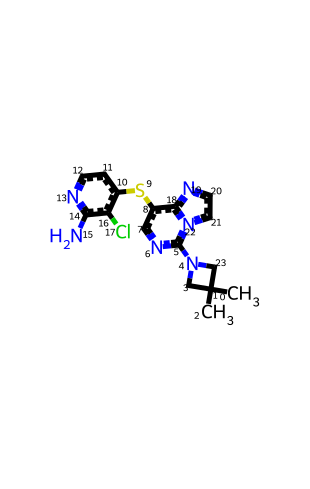 CC1(C)CN(c2ncc(Sc3ccnc(N)c3Cl)c3nccn23)C1